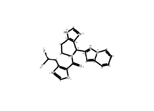 O=C(c1ocnc1CC(F)F)N1CCc2[nH]cnc2C1c1cc2ccccn2n1